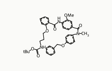 COc1cc(C(=O)N(C)c2ccc(OCc3ccccc3)cc2)ccc1NC(=O)c1ccccc1OCCCNC(=O)OC(C)(C)C